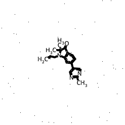 C=CCN1c2cc(-c3cnc(C)nc3)ccc2C(=O)C1(C)C